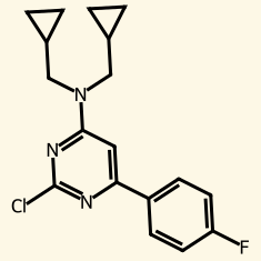 Fc1ccc(-c2cc(N(CC3CC3)CC3CC3)nc(Cl)n2)cc1